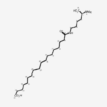 CN[C@@H](CCCCNC(=O)CCCCCCCCCCCCCCCCC(=O)O)C(=O)O